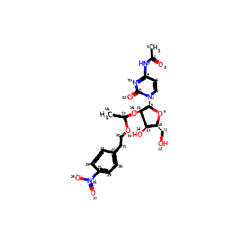 CC(=O)Nc1ccn([C@@H]2O[C@H](CO)[C@@H](O)[C@H]2OC(C)OCCc2ccc([N+](=O)[O-])cc2)c(=O)n1